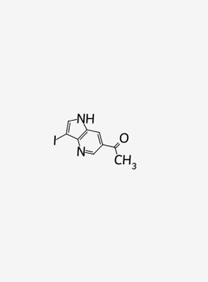 CC(=O)c1cnc2c(I)c[nH]c2c1